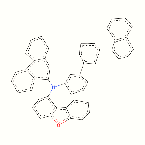 c1cc(-c2cccc(N(c3cc4ccccc4c4ccccc34)c3cccc4oc5ccccc5c34)c2)cc(-c2cccc3ccccc23)c1